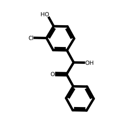 O=C(c1ccccc1)C(O)c1ccc(O)c(Cl)c1